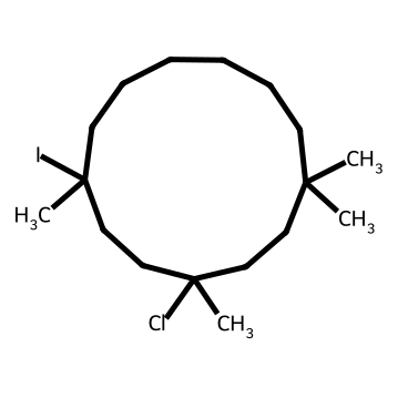 CC1(C)CCCCCCC(C)(I)CCC(C)(Cl)CC1